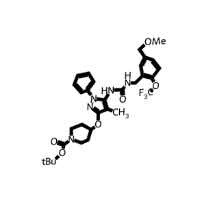 COCc1ccc(OC(F)(F)F)c(CNC(=O)Nc2c(C)c(OC3CCN(C(=O)OC(C)(C)C)CC3)nn2-c2ccccc2)c1